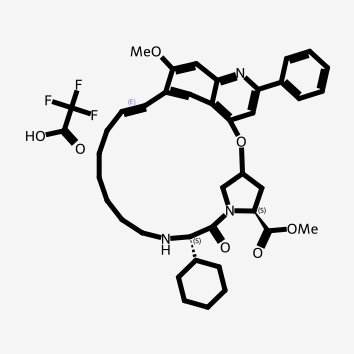 COC(=O)[C@@H]1CC2CN1C(=O)[C@H](C1CCCCC1)NCCCCCC/C=C/c1cc3c(cc(-c4ccccc4)nc3cc1OC)O2.O=C(O)C(F)(F)F